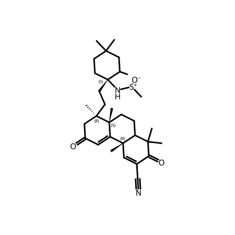 CC1CC(C)(C)CC[C@@]1(CC[C@]1(C)CC(=O)C=C2[C@@]3(C)C=C(C#N)C(=O)C(C)(C)C3CC[C@]21C)N[S+](C)[O-]